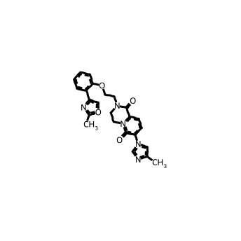 Cc1cn(-c2ccc3n(c2=O)CCN(CCOc2ccccc2-c2coc(C)n2)C3=O)cn1